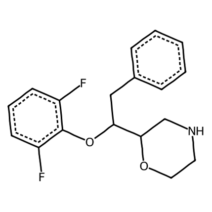 Fc1cccc(F)c1OC(Cc1ccccc1)C1CNCCO1